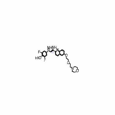 N/C(=C\N(N)c1cc(F)c(O)c(F)c1)c1ccc2cc(OCCOCCN3CCOCC3)ccc2n1